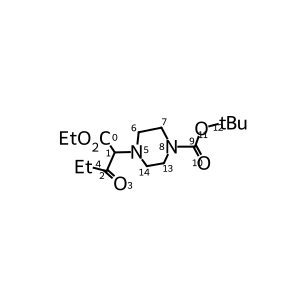 CCOC(=O)C(C(=O)CC)N1CCN(C(=O)OC(C)(C)C)CC1